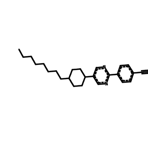 CCCCCCCCC1CCC(c2cnc(-c3ccc(C#N)cc3)nc2)CC1